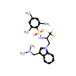 Cc1cc(C)c(S(=O)(=O)NC(Cn2cc(CN(C)C)c3ccccc32)C(F)(F)F)c(C)c1